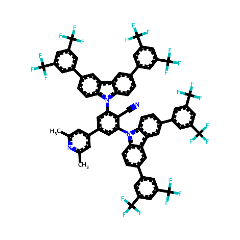 Cc1cc(-c2cc(-n3c4ccc(-c5cc(C(F)(F)F)cc(C(F)(F)F)c5)cc4c4cc(-c5cc(C(F)(F)F)cc(C(F)(F)F)c5)ccc43)c(C#N)c(-n3c4ccc(-c5cc(C(F)(F)F)cc(C(F)(F)F)c5)cc4c4cc(-c5cc(C(F)(F)F)cc(C(F)(F)F)c5)ccc43)c2)cc(C)n1